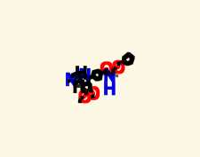 CCOc1cc2c(cc1OC)C(c1ccc(C(=O)N[C@@H](C)COCc3ccccc3)cc1)=N[C@@H]1CCN(C)C[C@H]21